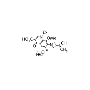 COc1c(N2CC(N(C)C)C2)c(F)cc2c(=O)c(C(=O)O)cn(C3CC3)c12.Cl.O